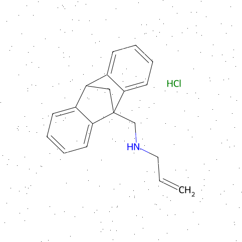 C=CCNCC12CC(c3ccccc31)c1ccccc12.Cl